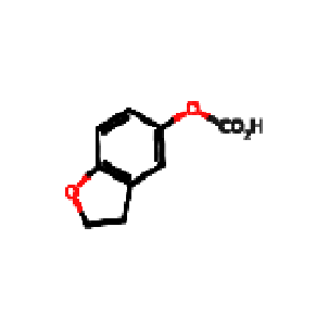 O=C(O)Oc1ccc2c(c1)CCO2